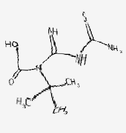 CC(C)(C)N(C(=N)NC(N)=S)C(=O)O